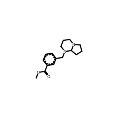 COC(=O)c1cccc(CN2CCCN3CCCC32)c1